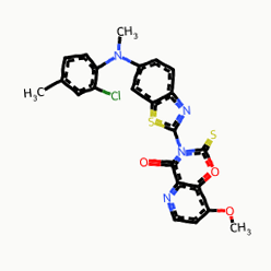 COc1ccnc2c(=O)n(-c3nc4ccc(N(C)c5ccc(C)cc5Cl)cc4s3)c(=S)oc12